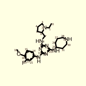 CCN1CCCC1CNc1nc(Nc2ccc(OC)c(F)c2)nc(NC2CCCNCC2)n1